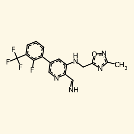 Cc1noc(CNc2cc(-c3cccc(C(F)(F)F)c3F)cnc2C=N)n1